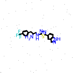 NC(CNc1nnc(-c2ccc3[nH]ncc3c2)s1)Cc1ccc(C(F)(F)F)cc1